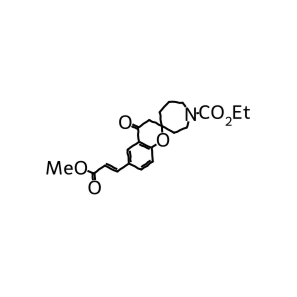 CCOC(=O)N1CCCC2(CC1)CC(=O)c1cc(C=CC(=O)OC)ccc1O2